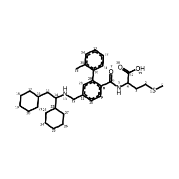 CSCCC(NC(=O)c1ccc(CNC(CC2CCCCC2)C2CCCCC2)cc1-c1ccccc1C)C(=O)O